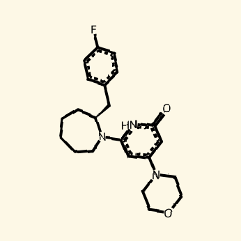 O=c1cc(N2CCOCC2)cc(N2CCCCC[C@H]2Cc2ccc(F)cc2)[nH]1